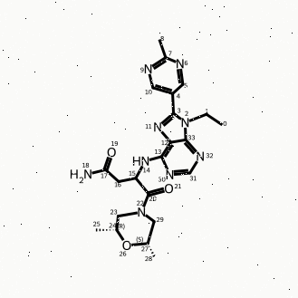 CCn1c(-c2cnc(C)nc2)nc2c(NC(CC(N)=O)C(=O)N3C[C@@H](C)O[C@@H](C)C3)ncnc21